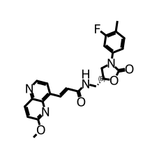 COc1ccc2nccc(C=CC(=O)NC[C@@H]3CN(c4ccc(C)c(F)c4)C(=O)O3)c2n1